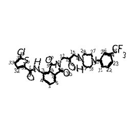 O=C(Nc1cccc2c1C(=O)N(CC(O)CN1CCN(c3cccc(C(F)(F)F)c3)CC1)C2=O)c1ccc(Cl)s1